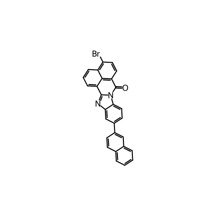 O=c1c2ccc(Br)c3cccc(c32)c2nc3cc(-c4ccc5ccccc5c4)ccc3n12